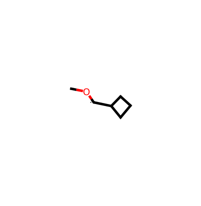 CO[CH]C1CCC1